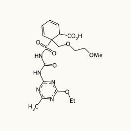 CCOc1nc(C)nc(NC(=O)NS(=O)(=O)C2(COCCOC)C=CC=CC2C(=O)O)n1